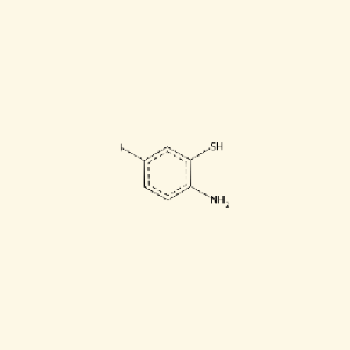 Nc1ccc(I)cc1S